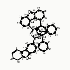 C1=Cc2c(oc3ccc(-c4nc(-c5ccccc5)nc(-c5cccc6oc7cccc(-c8ccc(-c9ccccc9)cc8)c7c56)n4)cc23)CC1